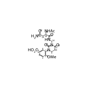 COc1ccc(C(=O)O)cc1N1CCC(=O)N(CNC(=O)C(CC(N)=O)NC(C)=O)C1=O